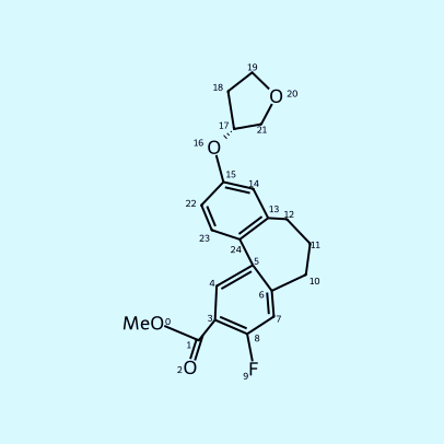 COC(=O)c1cc2c(cc1F)CCCc1cc(O[C@@H]3CCOC3)ccc1-2